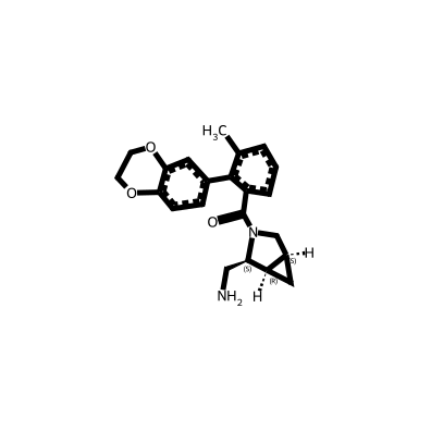 Cc1cccc(C(=O)N2C[C@H]3C[C@H]3[C@H]2CN)c1-c1ccc2c(c1)OCCO2